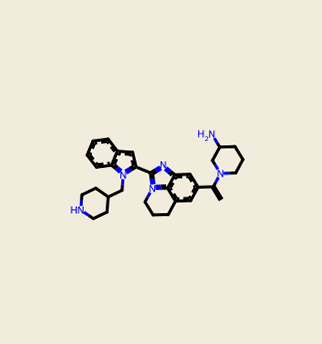 C=C(c1cc2c3c(c1)nc(-c1cc4ccccc4n1CC1CCNCC1)n3CCC2)N1CCCC(N)C1